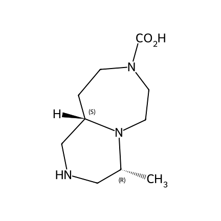 C[C@@H]1CNC[C@@H]2CCN(C(=O)O)CCN21